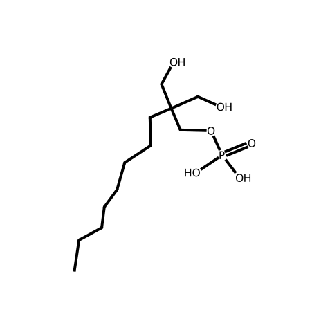 CCCCCCCCC(CO)(CO)COP(=O)(O)O